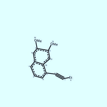 CCC#Cc1cccc2cc(OC)c(OC)cc12